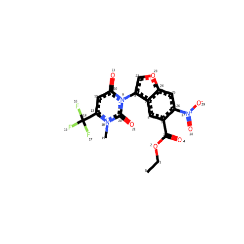 CCOC(=O)c1cc2c(-n3c(=O)cc(C(F)(F)F)n(C)c3=O)coc2cc1[N+](=O)[O-]